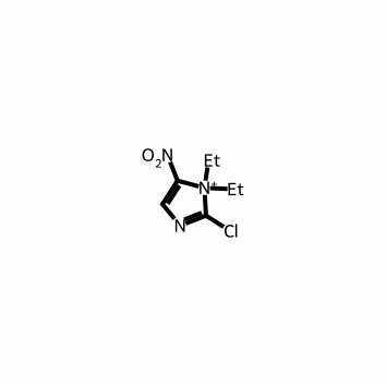 CC[N+]1(CC)C([N+](=O)[O-])=CN=C1Cl